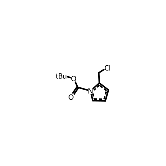 CC(C)(C)OC(=O)n1cccc1CCl